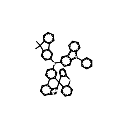 CC1(C)c2ccccc2-c2cc(N(c3ccc4c(c3)C3(c5ccccc5Sc5ccccc53)c3cccc5cccc-4c35)c3ccc4c(c3)c3ccccc3n4-c3ccccc3)ccc21